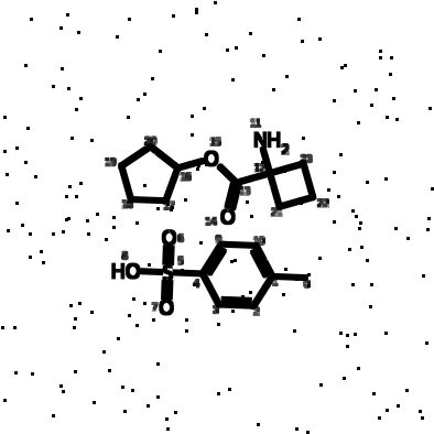 Cc1ccc(S(=O)(=O)O)cc1.NC1(C(=O)OC2CCCC2)CCC1